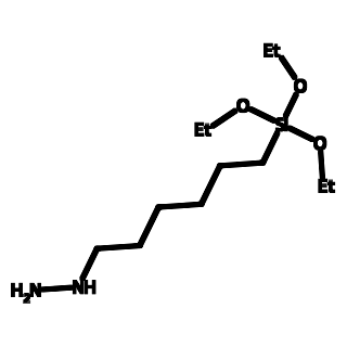 CCO[Si](CCCCCCNN)(OCC)OCC